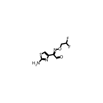 Nc1nc(/C([C]=O)=N/OCC(F)F)cs1